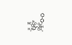 CC(/C=C(\C=C/N)N1CC[C@@](C#N)(C2CC2)C1=O)NC(=O)Cc1ccc(-c2ccccc2)cc1